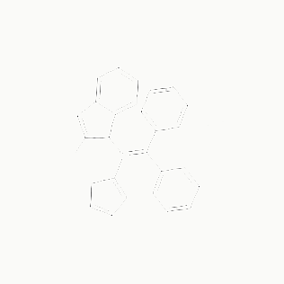 CC1=Cc2ccccc2[CH]1[Zr]([C]1=CC=CC1)=[C](c1ccccc1)c1ccccc1.Cl.Cl